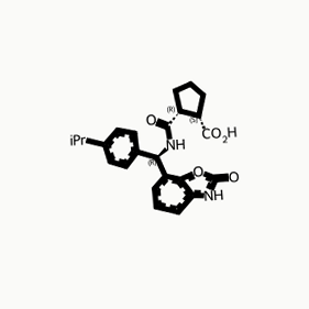 CC(C)c1ccc([C@@H](NC(=O)[C@@H]2CCC[C@@H]2C(=O)O)c2cccc3[nH]c(=O)oc23)cc1